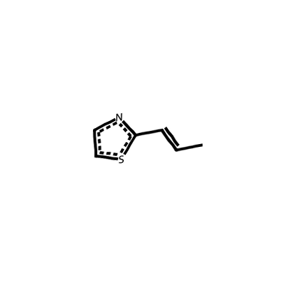 CC=Cc1nccs1